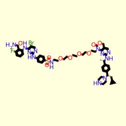 C[C@H](Nc1ncc2c(n1)N(CCOCCOCCOCCOCCNS(=O)(=O)c1ccc(Nc3ncc(Br)c(Nc4cccc(F)c4C(N)=O)n3)cc1)C(=O)OC2)c1ccc([C@H](CC2CC2)N2CCNCC2)cc1